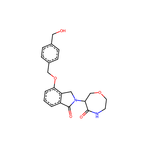 O=C1NCCOCC1N1Cc2c(OCc3ccc(CO)cc3)cccc2C1=O